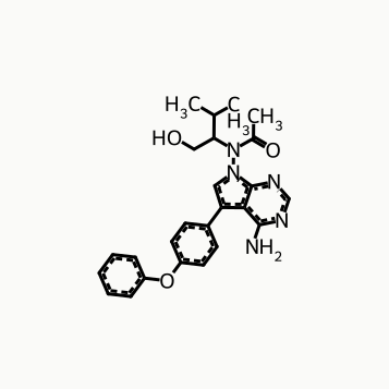 CC(=O)N(C(CO)C(C)C)n1cc(-c2ccc(Oc3ccccc3)cc2)c2c(N)ncnc21